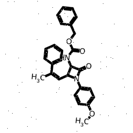 COc1ccc(N2C(=O)C(NC(=O)OCc3ccccc3)C2/C=C(/C)c2ccccc2)cc1